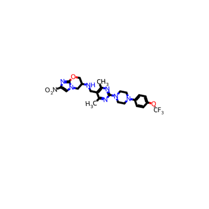 Cc1nc(N2CCN(c3ccc(OC(F)(F)F)cc3)CC2)nc(C)c1CNC1COc2nc([N+](=O)[O-])cn2C1